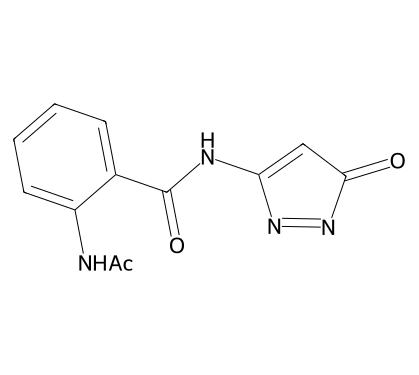 CC(=O)Nc1ccccc1C(=O)NC1=CC(=O)N=N1